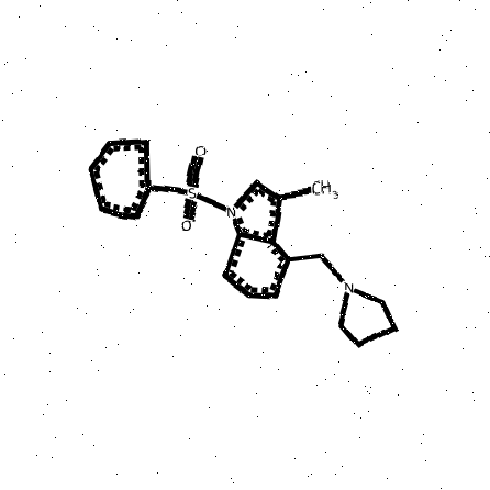 Cc1cn(S(=O)(=O)c2ccccc2)c2cccc(CN3CCCC3)c12